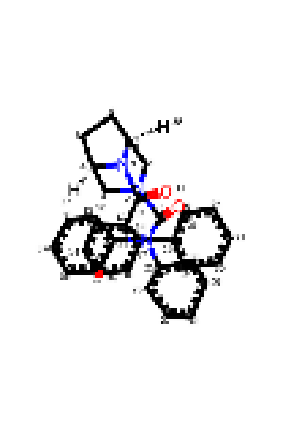 O=C(N1C[C@H]2CC[C@@H](C1)N2C(=O)c1ccccc1-c1ccccc1)N(c1ccccc1)c1ccccc1